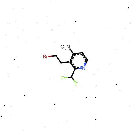 O=[N+]([O-])c1ccnc(C(F)F)c1CCBr